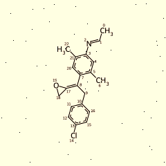 C/C=N/c1cc(C)c(/C(Cc2ccc(Cl)cc2)=C2/CO2)cc1C